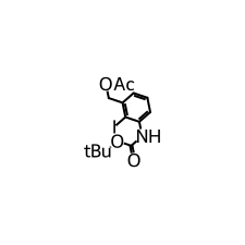 CC(=O)OCc1cccc(NC(=O)OC(C)(C)C)c1I